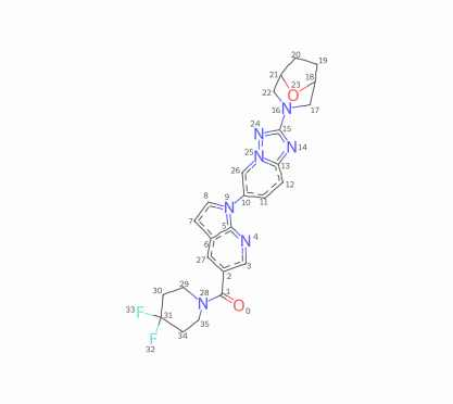 O=C(c1cnc2c(ccn2-c2ccc3nc(N4CC5CCC(C4)O5)nn3c2)c1)N1CCC(F)(F)CC1